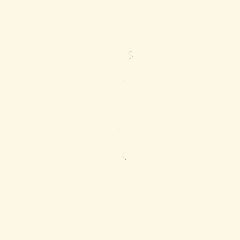 CC(C)=C1c2sccc2-c2cc(C)sc21